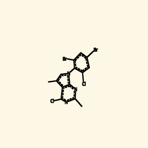 Cc1nc(Cl)c2c(C)cn(-c3c(Cl)cc(Br)cc3Br)c2n1